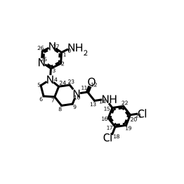 Nc1cc(N2CCC3CCN(C(=O)CNc4cc(Cl)cc(Cl)c4)CC32)ncn1